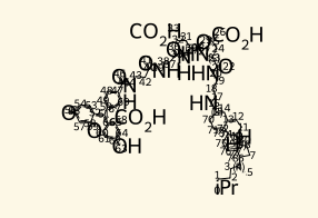 CC(C)CCC[C@@H](C)C1CC[C@H]2[C@@H]3CC=C4C[C@@H](NCCCNC(=O)[C@H](CCC(=O)O)NC(=O)[C@H](CCC(=O)O)NC(=O)CCNC(=O)CCNC(=O)c5ccc(-c6c7ccc(=O)cc-7oc7cc(O)ccc67)c(C(=O)O)c5)CCC4(C)C3CCC12C